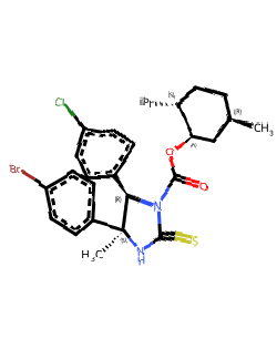 CC(C)[C@@H]1CC[C@@H](C)C[C@H]1OC(=O)N1C(=S)N[C@@](C)(c2ccc(Br)cc2)[C@H]1c1ccc(Cl)cc1